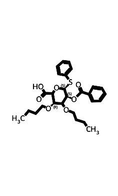 CCCCOC1[C@@H](OCCCC)C(C(=O)O)O[C@@H](Sc2ccccc2)[C@H]1OC(=O)c1ccccc1